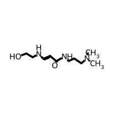 CN(C)CCCNC(=O)C=CNCCO